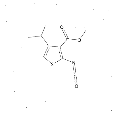 COC(=O)c1c(C(C)C)csc1N=C=O